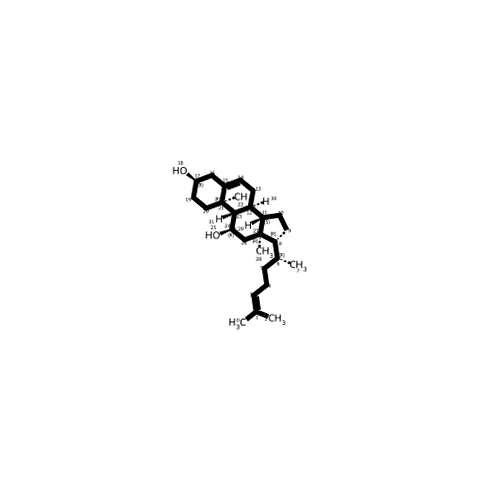 CC(C)=CCC[C@@H](C)[C@H]1CC[C@H]2[C@@H]3CC=C4C[C@H](O)CC[C@]4(C)[C@H]3[C@H](O)C[C@]12C